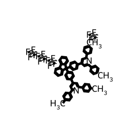 Cc1ccc(-c2cc(-c3ccc(C4(c5ccc(-c6cc(-c7ccc(C)cc7)nc(-c7ccc(C)cc7)c6)cc5)c5ccccc5-c5ccccc54)cc3)cc(-c3ccc(C)cc3)n2)cc1.F[B-](F)(F)F.F[B-](F)(F)F.F[B-](F)(F)F.F[B-](F)(F)F